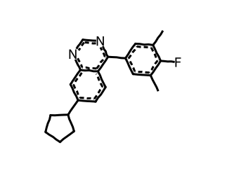 Cc1cc(-c2ncnc3cc(C4CCCC4)ccc23)cc(C)c1F